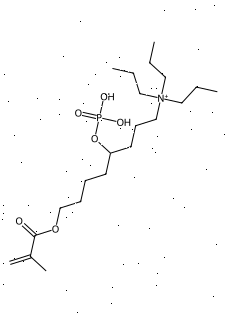 C=C(C)C(=O)OCCCCC(CCC[N+](CCC)(CCC)CCC)OP(=O)(O)O